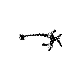 CCCCSc1cc2c3cc(SCCCC)c(SCCCC)cc3c3cc(SCCCCCCCCCCCCCCCCCC[Si](OC)(OC)OC)c(SCCCC)cc3c2cc1SCCCC